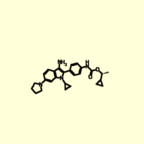 C[C@@H](OC(=O)Nc1ccc(-c2c(N)c3ccc(N4CCCC4)cc3n2C2CC2)cc1)C1CC1